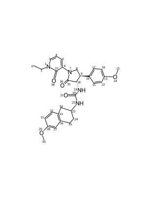 CCn1cccc(N2C[C@@H](c3ccc(OC)cc3)[C@H](NC(=O)NC3CCc4cc(OC)ccc4C3)C2=O)c1=O